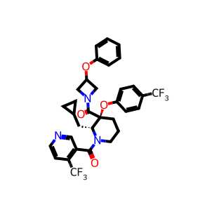 O=C(c1cnccc1C(F)(F)F)N1CCC[C@@](Oc2ccc(C(F)(F)F)cc2)(C(=O)N2CC(Oc3ccccc3)C2)[C@H]1CC1CC1